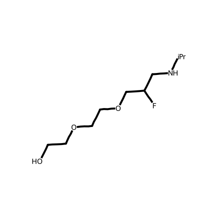 CC(C)NCC(F)COCCOCCO